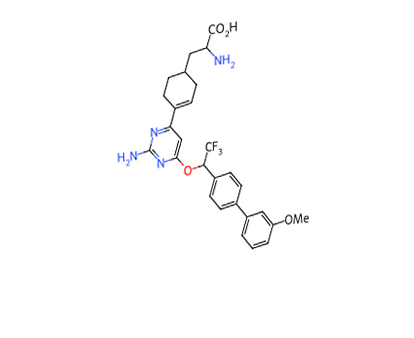 COc1cccc(-c2ccc(C(Oc3cc(C4=CCC(CC(N)C(=O)O)CC4)nc(N)n3)C(F)(F)F)cc2)c1